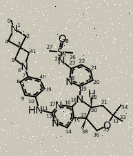 CN1CC2(C1)CN(c1ccc(Nc3ncc4c(n3)N(c3cccc(N=S(C)(C)=O)n3)[C@@H]3CC(C)(C)OC[C@]43C)cc1)C2